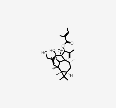 C/C=C(\C)C(=O)O[C@H]1C(C)=C[C@]23C(O)[C@@H](C=C(CO)[C@@H](O)[C@]12O)[C@H]1[C@@H](C[C@H]3C)C1(C)C